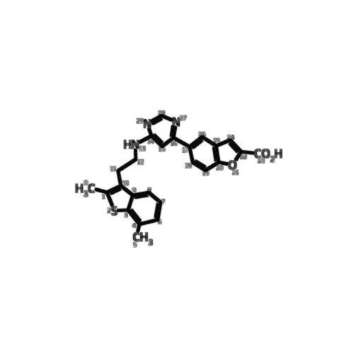 Cc1sc2c(C)cccc2c1CCNc1cc(-c2ccc3oc(C(=O)O)cc3c2)ncn1